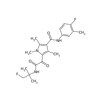 Cc1cc(NC(=O)c2c(C)c(C(=O)C(=O)NC(C)(C)CF)n(C)c2C)ccc1F